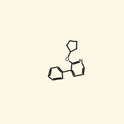 [c]1ccccc1-c1cccnc1OC1CCCC1